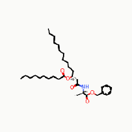 [CH2][C@@H](NC(=O)C[C@@H](CCCCCCCCCCC)OC(=O)CCCCCCCCC)C(=O)OCc1ccccc1